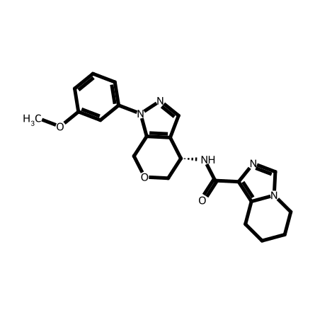 COc1cccc(-n2ncc3c2COC[C@H]3NC(=O)c2ncn3c2CCCC3)c1